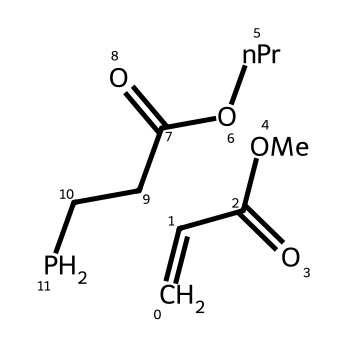 C=CC(=O)OC.CCCOC(=O)CCP